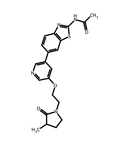 CC(=O)Nc1nc2ccc(-c3cncc(OCCN4CCC(C)C4=O)c3)cc2s1